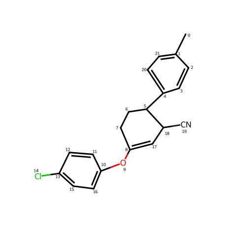 Cc1ccc(C2CCC(Oc3ccc(Cl)cc3)=CC2C#N)cc1